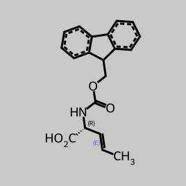 C/C=C/[C@@H](NC(=O)OCC1c2ccccc2-c2ccccc21)C(=O)O